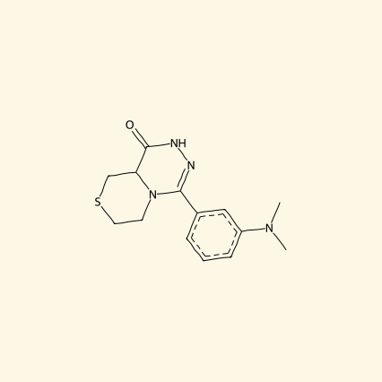 CN(C)c1cccc(C2=NNC(=O)C3CSCCN23)c1